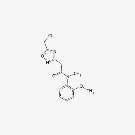 COc1ccccc1N(C)C(=O)Cc1noc(CCl)n1